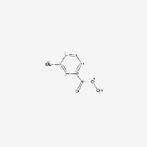 CC(C)(C)c1cccc(C(=O)OO)c1